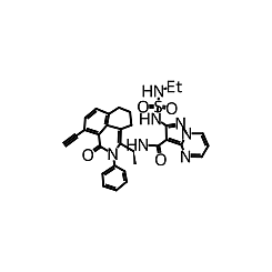 C#Cc1ccc2c3c(c([C@H](C)NC(=O)c4c(NS(=O)(=O)NCC)nn5cccnc45)n(-c4ccccc4)c(=O)c13)CCC2